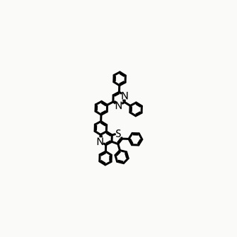 c1ccc(-c2cc(-c3cccc(-c4ccc5nc(-c6ccccc6)c6c(-c7ccccc7)c(-c7ccccc7)sc6c5c4)c3)nc(-c3ccccc3)n2)cc1